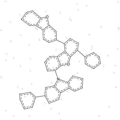 c1ccc(-c2ccc3c4ccccc4n(-c4cccc5c4oc4c(-c6ccccc6)ccc(-c6ccc7c(c6)oc6ccccc67)c45)c3c2)cc1